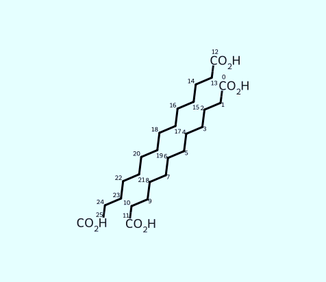 O=C(O)CCCCCCCCCCC(=O)O.O=C(O)CCCCCCCCCCCCC(=O)O